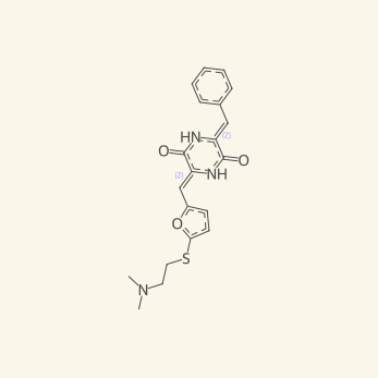 CN(C)CCSc1ccc(/C=c2\[nH]c(=O)/c(=C/c3ccccc3)[nH]c2=O)o1